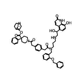 O=C(Cc1ccc(CC(=O)N(CCCNCC(O)c2ccc(O)c3[nH]c(=O)ccc23)Cc2ccccc2OCc2ccccc2)cc1)N1CCC(C(=O)OC2CN3CCC2CC3)(c2ccccc2)CC1